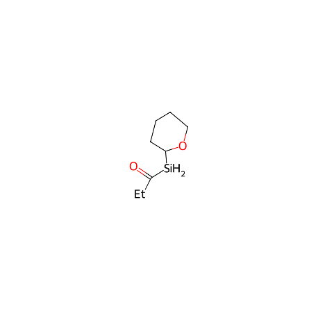 CCC(=O)[SiH2]C1CCCCO1